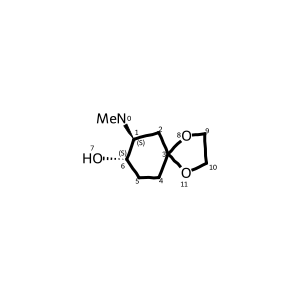 CN[C@H]1CC2(CC[C@@H]1O)OCCO2